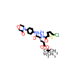 CC(C)(C)OC(=O)CC[C@@H](NC(=O)c1ccc(Cl)s1)C(=O)Nc1ccc(N2CCOCC2=O)cc1